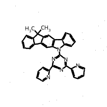 CC1(C)c2ccccc2-c2cc3c(cc21)c1ccccc1n3-c1nc(-c2ccccn2)nc(-c2ccccn2)n1